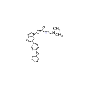 CN(C)C/C=C/C(=O)N1CC(n2ccc3ncc(-c4ccc(Oc5ccccc5)cc4)cc32)C1